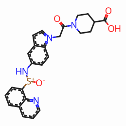 O=C(O)C1CCN(C(=O)Cn2ccc3cc(N[S+]([O-])c4cccc5cccnc45)ccc32)CC1